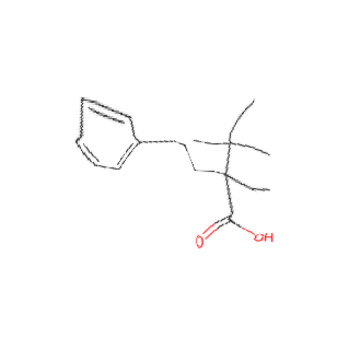 CC(C)(C)C(C)(CCc1ccccc1)C(=O)O